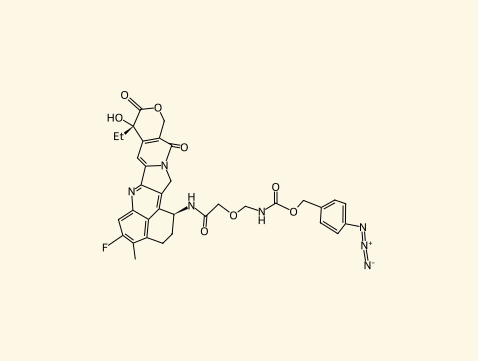 CC[C@@]1(O)C(=O)OCc2c1cc1n(c2=O)Cc2c-1nc1cc(F)c(C)c3c1c2[C@@H](NC(=O)COCNC(=O)OCc1ccc(N=[N+]=[N-])cc1)CC3